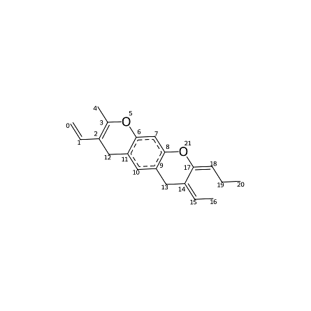 C=CC1=C(C)Oc2cc3c(cc2C1)CC(=C/C)/C(=C\CC)O3